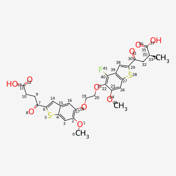 COc1cc2sc(C(=O)CCC(=O)O)cc2cc1OCCOc1c(OC)cc2sc(C(=O)C[C@H](C)C(=O)O)cc2c1F